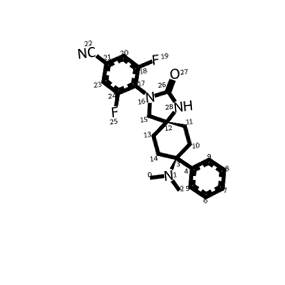 CN(C)[C@]1(c2ccccc2)CC[C@@]2(CC1)CN(c1c(F)cc(C#N)cc1F)C(=O)N2